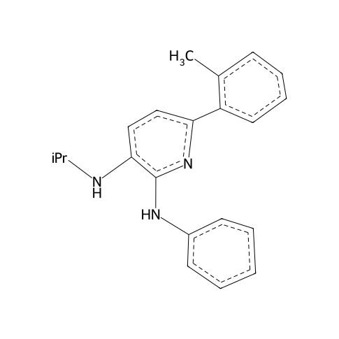 Cc1ccccc1-c1ccc(NC(C)C)c(Nc2ccccc2)n1